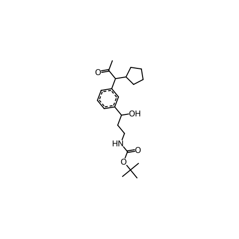 CC(=O)C(c1cccc(C(O)CCNC(=O)OC(C)(C)C)c1)C1CCCC1